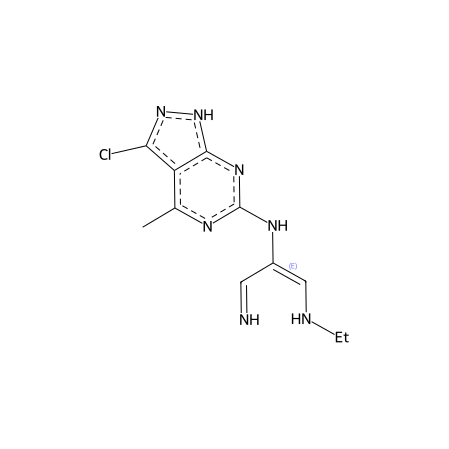 CCN/C=C(\C=N)Nc1nc(C)c2c(Cl)n[nH]c2n1